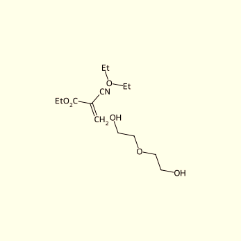 C=C(C#N)C(=O)OCC.CCOCC.OCCOCCO